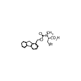 CC(C)CC(C(=O)O)N(C)C(=O)OCc1cccc2c1Cc1ccccc1-2